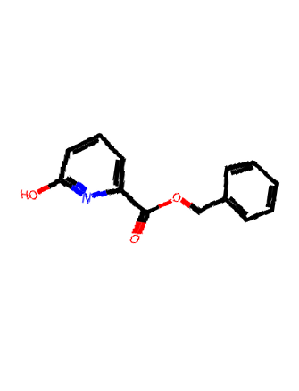 O=C(OCc1ccccc1)c1cccc(O)n1